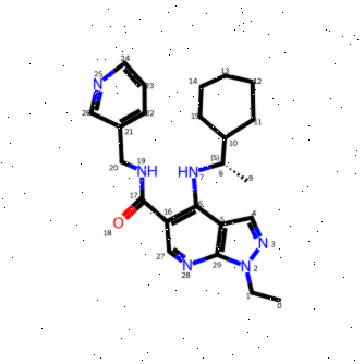 CCn1ncc2c(N[C@@H](C)C3CCCCC3)c(C(=O)NCc3cccnc3)cnc21